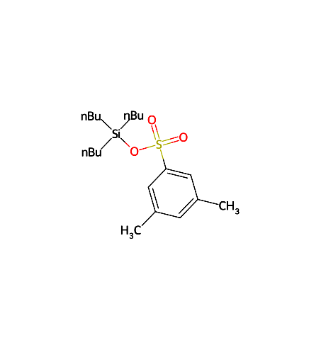 CCCC[Si](CCCC)(CCCC)OS(=O)(=O)c1cc(C)cc(C)c1